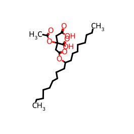 CCCCCCCCCC(CCCCCCCC)OC(=O)CC(CC(=O)O)(OC(C)=O)C(=O)O